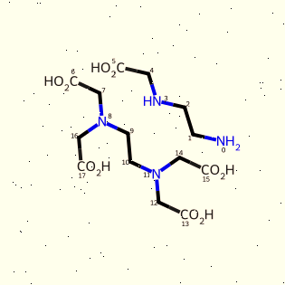 NCCNCC(=O)O.O=C(O)CN(CCN(CC(=O)O)CC(=O)O)CC(=O)O